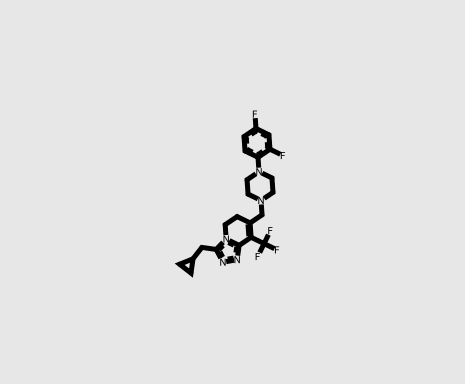 Fc1ccc(N2CCN(CC3=C(C(F)(F)F)c4nnc(CC5CC5)n4CC3)CC2)c(F)c1